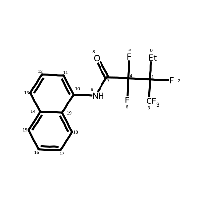 CCC(F)(C(F)(F)F)C(F)(F)C(=O)Nc1cccc2ccccc12